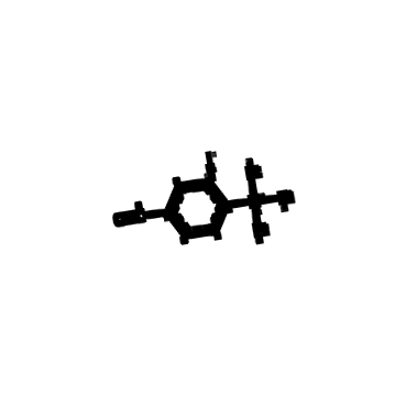 CC[N+](CC)(CC)c1ccc(C=O)cc1.[I-]